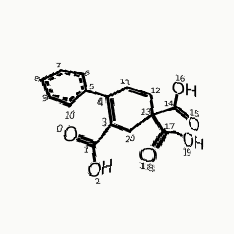 O=C(O)C1=C(c2ccccc2)C=CC(C(=O)O)(C(=O)O)C1